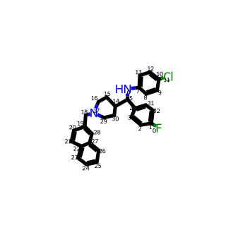 Fc1ccc(C(Nc2ccc(Cl)cc2)C2CCN(Cc3ccc4ccccc4c3)CC2)cc1